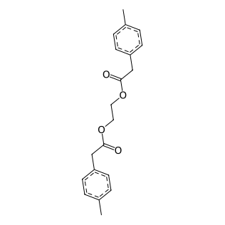 Cc1ccc(CC(=O)OCCOC(=O)Cc2ccc(C)cc2)cc1